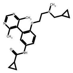 Cc1ncnc(C)c1-c1cc(NC(=O)C2CC2)ccc1OCCN(C)CC1CC1